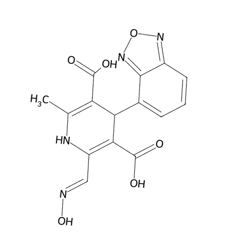 CC1=C(C(=O)O)C(c2cccc3nonc23)C(C(=O)O)=C(C=NO)N1